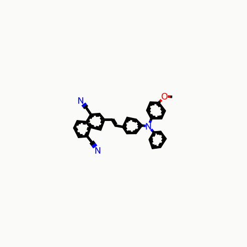 COc1ccc(N(c2ccccc2)c2ccc(C=Cc3cc(C#N)c4cccc(C#N)c4c3)cc2)cc1